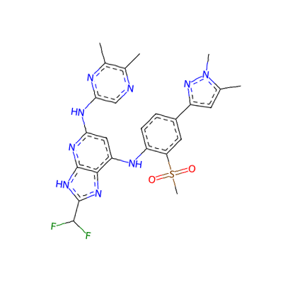 Cc1ncc(Nc2cc(Nc3ccc(-c4cc(C)n(C)n4)cc3S(C)(=O)=O)c3nc(C(F)F)[nH]c3n2)nc1C